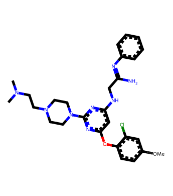 COc1ccc(Oc2cc(NC/C(N)=N/c3ccccc3)nc(N3CCN(CCN(C)C)CC3)n2)c(Cl)c1